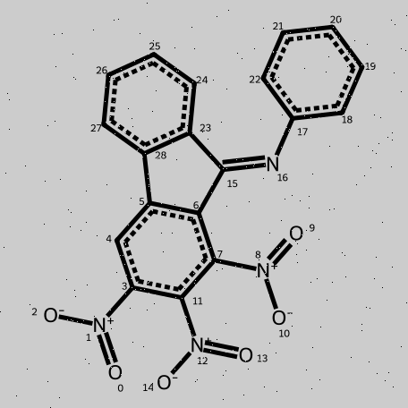 O=[N+]([O-])c1cc2c(c([N+](=O)[O-])c1[N+](=O)[O-])C(=Nc1ccccc1)c1ccccc1-2